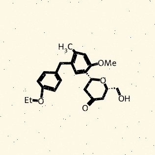 CCOc1ccc(Cc2cc([C@H]3CC(=O)C[C@@H](CO)O3)c(OC)cc2C)cc1